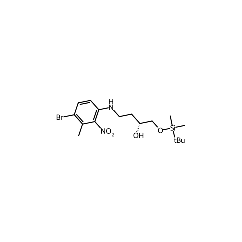 Cc1c(Br)ccc(NCC[C@@H](O)CO[Si](C)(C)C(C)(C)C)c1[N+](=O)[O-]